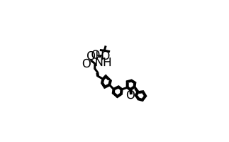 CC(C)(C)OC(=O)NC(CC=Cc1ccc(-c2cccc(-c3cccc4c3oc3ccccc34)c2)cc1)C(=O)O